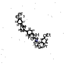 CCOc1ccc(C(C)C)c(N2C(=O)CS/C2=N\C(=O)Nc2ccc(-c3ncn(-c4ccc(OC(F)(F)F)cc4)n3)cc2F)c1